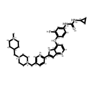 CN1CCC(CN2CCN(Cc3ccc(-c4cc5nccc(Oc6ccc(NC(=O)NC7CC7)cc6F)c5s4)nc3)CC2)CC1